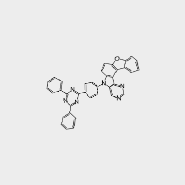 c1ccc(-c2nc(-c3ccccc3)nc(-c3ccc(-n4c5cncnc5c5c6c(ccc54)oc4ccccc46)cc3)n2)cc1